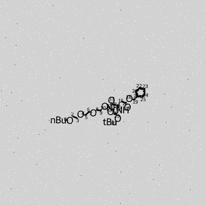 CCCCOCCOCCOCCONC(=O)[C@H](CC(=O)OCc1ccccc1)NC(=O)OC(C)(C)C